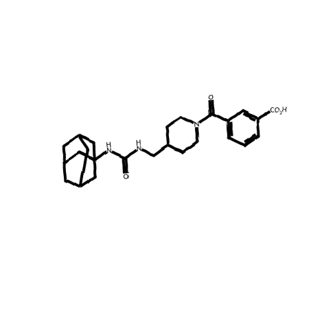 O=C(NCC1CCN(C(=O)c2cccc(C(=O)O)c2)CC1)NC12CC3CC(CC(C3)C1)C2